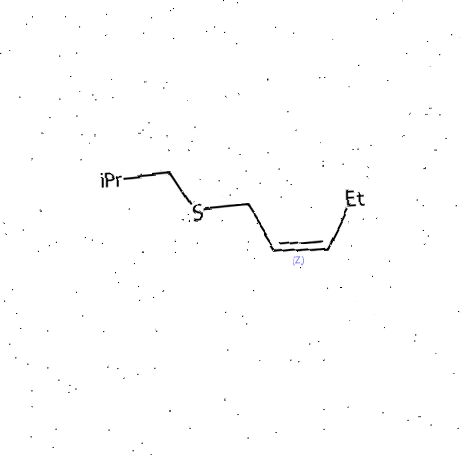 CC/C=C\CSCC(C)C